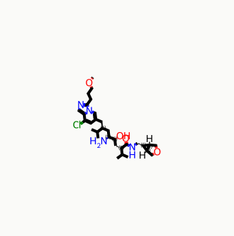 COCCCc1ncc2c(Cl)cc(C[C@@H](C[C@H](N)[C@@H](O)C[C@H](C(=O)NC[C@@H]3[C@H]4COC[C@@H]34)C(C)C)C(C)C)cn12